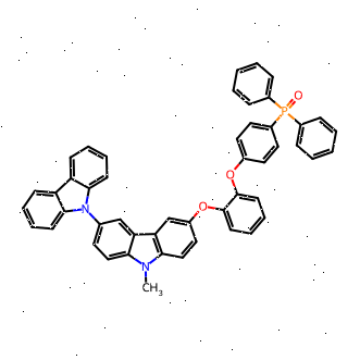 Cn1c2ccc(Oc3ccccc3Oc3ccc(P(=O)(c4ccccc4)c4ccccc4)cc3)cc2c2cc(-n3c4ccccc4c4ccccc43)ccc21